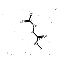 COC(=O)COC([O])=O